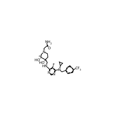 NC(=O)CN1CC[C@@](O)(CNc2ncnc(N(Cc3ccc(C(F)(F)F)cc3)C3CC3)c2F)[C@H](O)C1